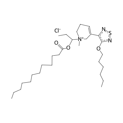 CCCCCCCCCCCC(=O)OC(CC)[N+]1(C)CCC=C(c2nsnc2OCCCCCC)C1.[Cl-]